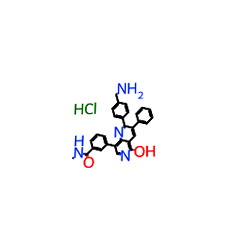 CNC(=O)c1cccc(-c2cnc(O)c3cc(-c4ccccc4)c(-c4ccc(CN)cc4)nc23)c1.Cl